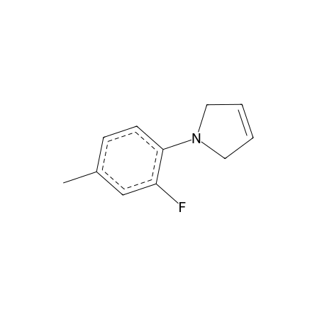 Cc1ccc(N2CC=CC2)c(F)c1